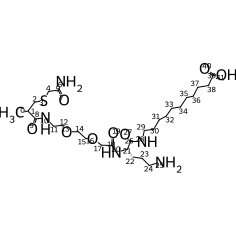 C[C@@H](CSCC(N)=O)C(=O)NCCOCCOCC(=O)N[C@@H](CCCN)C(=O)NCCCCCCCCCCC(=O)O